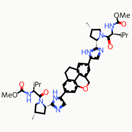 COC(=O)N[C@H](C(=O)N1C[C@@H](C)C[C@H]1c1ncc(-c2cc3c4c(c2)COc2cc(-c5cnc([C@@H]6C[C@H](C)CN6C(=O)[C@@H](NC(=O)OC)C(C)C)[nH]5)cc(c2-4)CC3)[nH]1)C(C)C